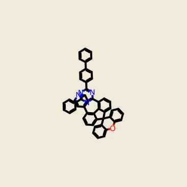 c1ccc(-c2ccc(-c3nc(-c4ccccc4)nc(-c4cccc5c4-c4c(-c6ccncc6)cccc4C54c5ccccc5Oc5ccccc54)n3)cc2)cc1